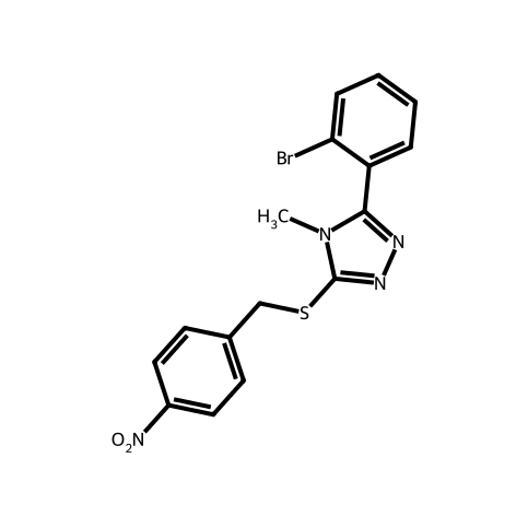 Cn1c(SCc2ccc([N+](=O)[O-])cc2)nnc1-c1ccccc1Br